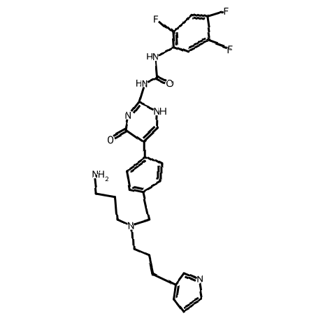 NCCCN(CCCc1cccnc1)Cc1ccc(-c2c[nH]c(NC(=O)Nc3cc(F)c(F)cc3F)nc2=O)cc1